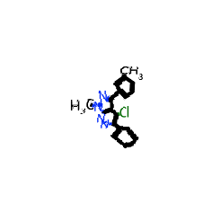 Cc1cccc(-c2nn(C)c3nnc(-c4ccccc4)c(Cl)c23)c1